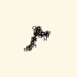 CCN(C)S(=O)(=O)Nc1ccc(F)c(C(=O)c2cn(C(=O)c3c(Cl)cccc3Cl)c3ncc(-c4cnc(N5CCC(NCC(=O)OC(C)(C)C)CC5)nc4)cc23)c1F